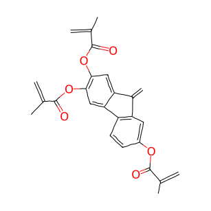 C=C(C)C(=O)Oc1ccc2c(c1)C(=C)c1cc(OC(=O)C(=C)C)c(OC(=O)C(=C)C)cc1-2